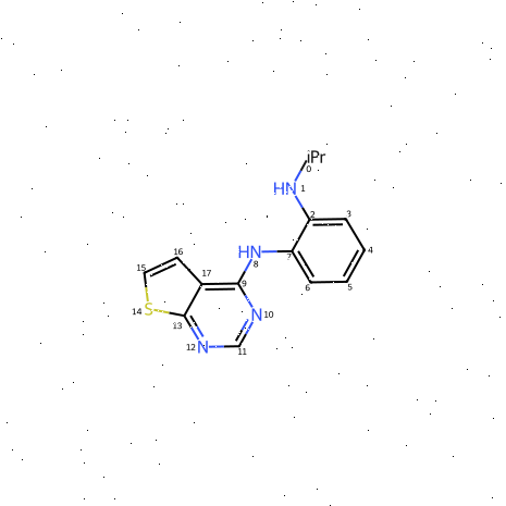 CC(C)Nc1ccccc1Nc1ncnc2sccc12